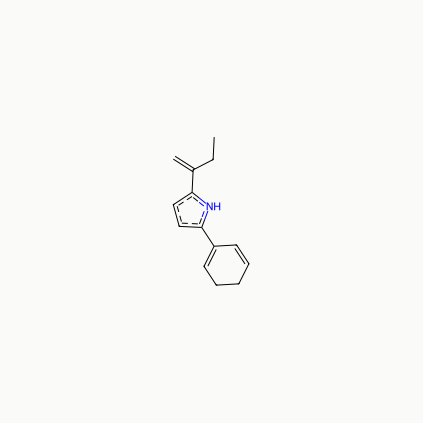 C=C(CC)c1ccc(C2=CCCC=C2)[nH]1